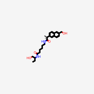 CCC(CO)NC(=O)CCCCCNC(=O)[C@@H](C)c1ccc2cc(CO)ccc2c1